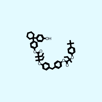 CCC(C)(Oc1ccc(C(C)(C)C)cc1)C(=O)Oc1ccc(Cc2ccc(OC(C)(CC)C(C)(CC)C(=O)Oc3ccc(C4(c5ccc(O)cc5)CCCCC4)cc3)cc2)cc1